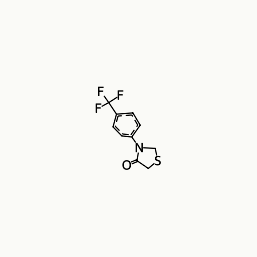 O=C1CSCN1c1ccc(C(F)(F)F)cc1